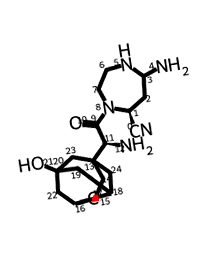 N#C[C@@H]1CC(N)NCCN1C(=O)[C@@H](N)C12CCC3CC(CC(O)(C3)C1)C2